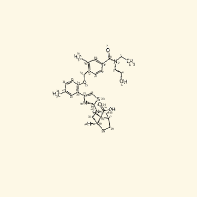 CCN(CCO)C(=O)c1ccc(COc2ccc(C)cc2-c2csc(N3CC4CC[C@H](C3)[C@@H]4C(=O)O)n2)c(C)c1